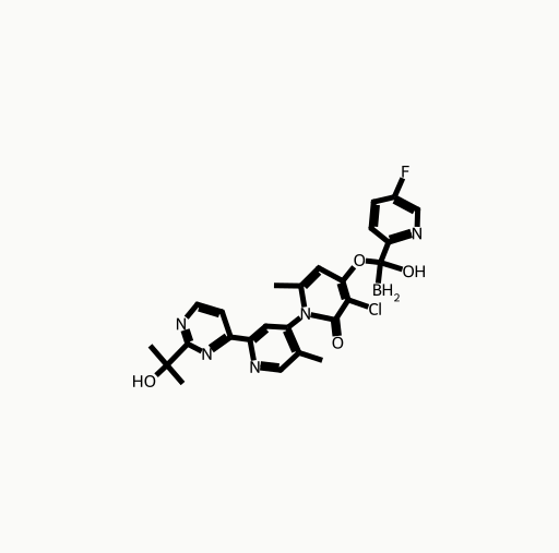 BC(O)(Oc1cc(C)n(-c2cc(-c3ccnc(C(C)(C)O)n3)ncc2C)c(=O)c1Cl)c1ccc(F)cn1